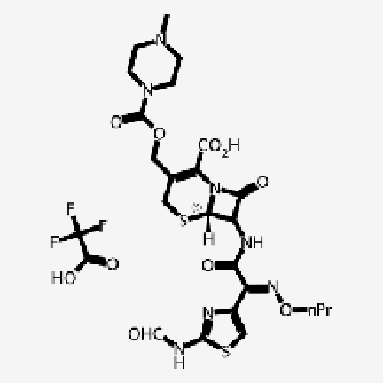 CCCON=C(C(=O)NC1C(=O)N2C(C(=O)O)=C(COC(=O)N3CCN(C)CC3)CS[C@@H]12)c1csc(NC=O)n1.O=C(O)C(F)(F)F